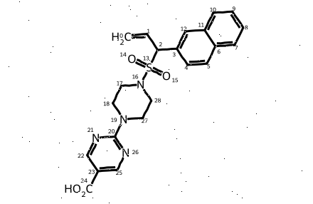 C=CC(c1ccc2ccccc2c1)S(=O)(=O)N1CCN(c2ncc(C(=O)O)cn2)CC1